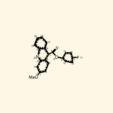 COc1ccc2c(C(=S)Oc3ccc(F)cc3)c3ccccc3nc2c1